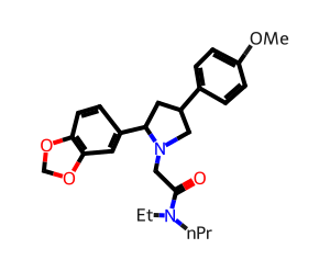 CCCN(CC)C(=O)CN1CC(c2ccc(OC)cc2)CC1c1ccc2c(c1)OCO2